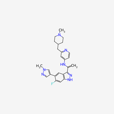 C=C(Nc1ccnc(CC2CCN(C)CC2)c1)c1n[nH]c2cc(F)c(-c3cnn(C)c3)cc12